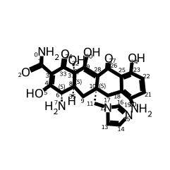 NC(=O)C1=C(O)[C@@H](N)[C@@H]2C[C@]3(Cn4ccnc4)Cc4c(N)ccc(O)c4C(=O)C3=C(O)[C@]2(O)C1=O